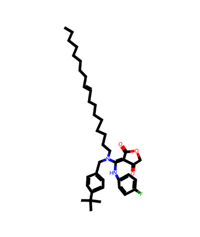 CCCCCCCCC=CCCCCCCCCN(Cc1ccc(C(C)(C)C)cc1)C(Nc1ccc(F)cc1)=C1C(=O)COC1=O